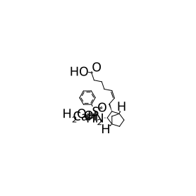 O.O=C(O)CCC/C=C\C[C@H]1[C@@H]2CC[C@@H](C2)[C@@H]1NS(=O)(=O)c1ccccc1.[CaH2]